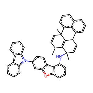 CC1C=CC2(C)C3=C1C(C)(Nc1cccc4oc5cc(-n6c7ccccc7c7ccccc76)ccc5c14)C=CC3c1cccc3cccc2c13